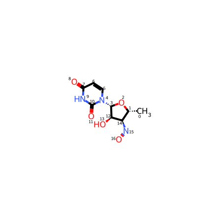 C[C@H]1O[C@@H](n2ccc(=O)[nH]c2=O)[C@H](O)[C@@H]1N=O